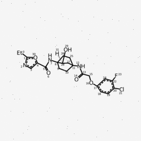 CCc1ncc(C(=O)NC23CCC(NC(=O)COc4ccc(Cl)c(F)c4)(CC2)C[C@@H]3O)o1